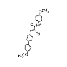 COc1ccc(NC(=O)C(C#N)=Cc2ccc(-c3ccc(OC)cc3)cc2)cc1